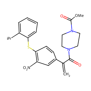 C=C(C(=O)N1CCN(C(=O)OC)CC1)c1ccc(Sc2ccccc2C(C)C)c([N+](=O)[O-])c1